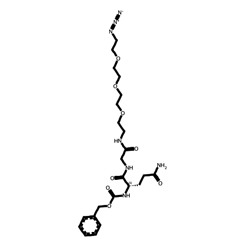 [N-]=[N+]=NCCOCCOCCOCCNC(=O)CNC(=O)[C@H](CCC(N)=O)NC(=O)OCc1ccccc1